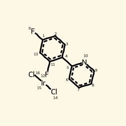 Fc1ccc(-c2ccccn2)c(F)c1.[Cl][Ir][Cl]